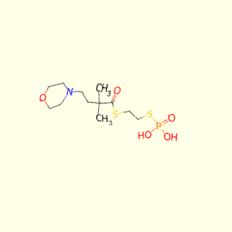 CC(C)(CCN1CCOCC1)C(=O)SCCSP(=O)(O)O